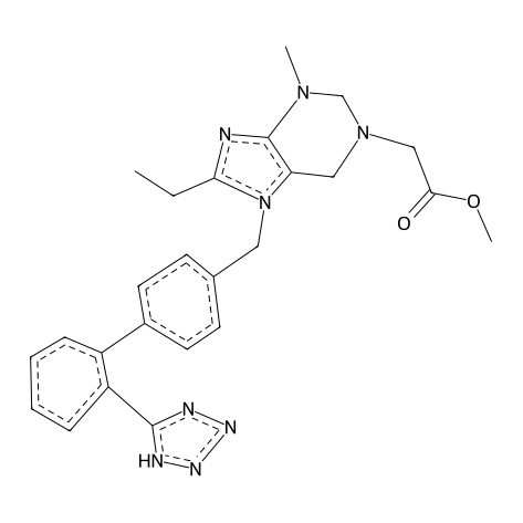 CCc1nc2c(n1Cc1ccc(-c3ccccc3-c3nnn[nH]3)cc1)CN(CC(=O)OC)CN2C